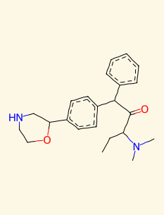 CCC(C(=O)C(c1ccccc1)c1ccc(C2CNCCO2)cc1)N(C)C